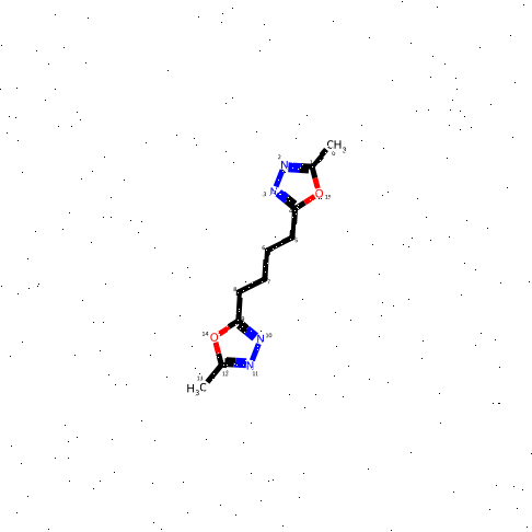 Cc1nnc(CCCCc2nnc(C)o2)o1